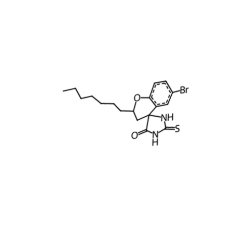 CCCCCCCC1CC2(NC(=S)NC2=O)c2cc(Br)ccc2O1